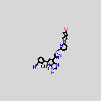 Cc1c(C#N)cccc1-c1cc(-c2cn(Cc3cccc(N4CC5(CC(=O)C5)C4)n3)nn2)c2nc[nH]c2n1